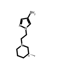 Bc1cnn(CCN2CCC[C@@H](C)C2)c1